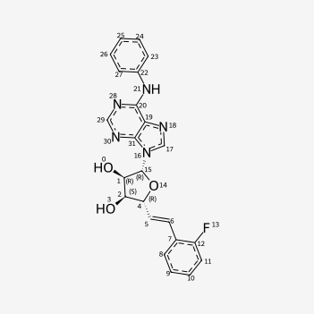 O[C@@H]1[C@H](O)[C@@H](C=Cc2ccccc2F)O[C@H]1n1cnc2c(Nc3ccccc3)ncnc21